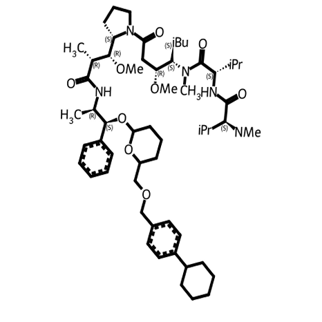 CC[C@H](C)[C@@H]([C@@H](CC(=O)N1CCC[C@H]1[C@H](OC)[C@@H](C)C(=O)N[C@H](C)[C@@H](OC1CCCC(COCc2ccc(C3CCCCC3)cc2)O1)c1ccccc1)OC)N(C)C(=O)[C@@H](NC(=O)[C@@H](NC)C(C)C)C(C)C